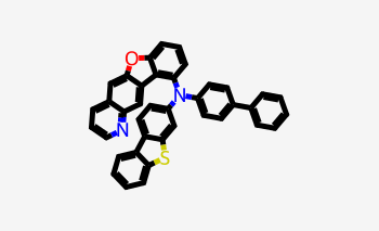 c1ccc(-c2ccc(N(c3ccc4c(c3)sc3ccccc34)c3cccc4oc5cc6cccnc6cc5c34)cc2)cc1